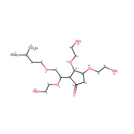 CCCCCCCCCCC(CCOCC(OCCO)C1C(=O)CC(OCCO)C1OCCO)C(=O)O